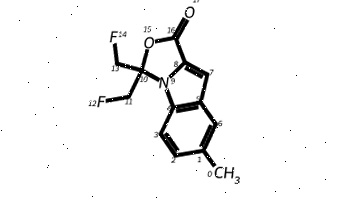 Cc1ccc2c(c1)cc1n2C(CF)(CF)OC1=O